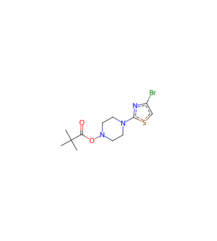 CC(C)(C)C(=O)ON1CCN(c2nc(Br)cs2)CC1